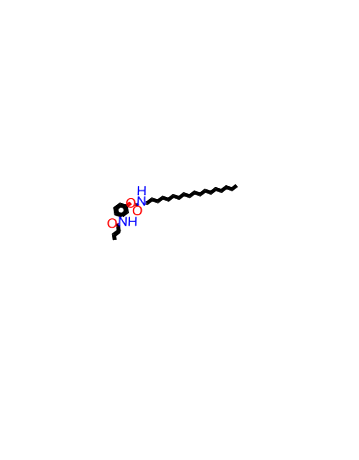 CC=CC(=O)Nc1cccc(OC(=O)NCCCCCCCCCCCCCCCCCC)c1